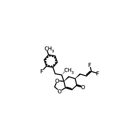 Cc1ccc(C[C@H](C)[C@]23C[C@@H](CC=C(F)F)C(=O)C=C2OCO3)c(F)c1